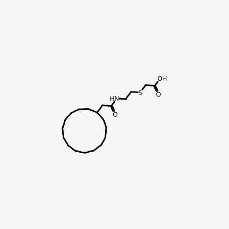 O=C(O)CSCCNC(=O)CC1CCCCCCCCCCCCCC1